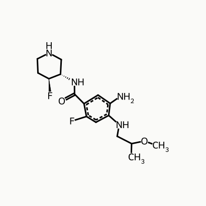 COC(C)CNc1cc(F)c(C(=O)N[C@H]2CNCC[C@@H]2F)cc1N